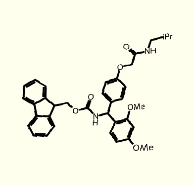 COc1ccc(C(NC(=O)OCC2c3ccccc3-c3ccccc32)c2ccc(OCC(=O)NCC(C)C)cc2)c(OC)c1